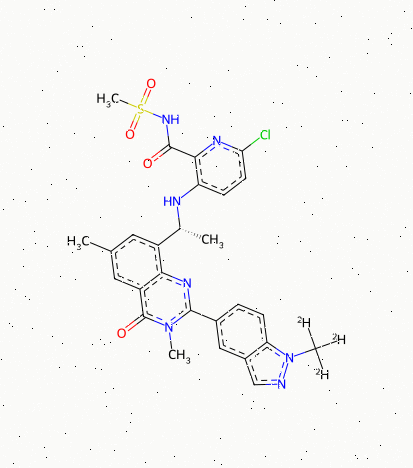 [2H]C([2H])([2H])n1ncc2cc(-c3nc4c([C@@H](C)Nc5ccc(Cl)nc5C(=O)NS(C)(=O)=O)cc(C)cc4c(=O)n3C)ccc21